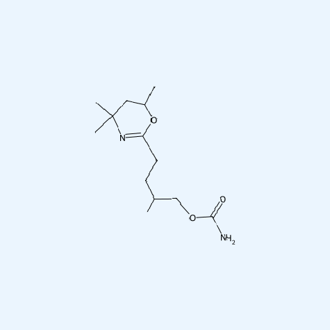 CC(CCC1=NC(C)(C)CC(C)O1)COC(N)=O